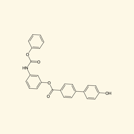 O=C(Nc1cccc(OC(=O)c2ccc(-c3ccc(O)cc3)cc2)c1)Oc1ccccc1